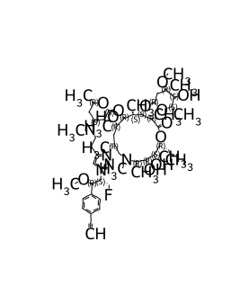 C#Cc1ccc([C@@H](OC)[C@@H](CF)n2cc(CCN(C)[C@@H]3C[C@H](O[C@@H]4[C@@H](C)[C@H](O[C@H]5C[C@@](C)(OC)[C@@H](O)[C@H](C)O5)[C@@H](C)C(=O)O[C@H](CC)[C@@](C)(O)[C@H](O)[C@@H](C)N(C)C[C@H](C)C[C@@]4(C)O)O[C@H](C)C3)nn2)cc1